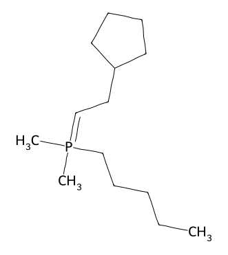 CCCCCP(C)(C)=CCC1CCCC1